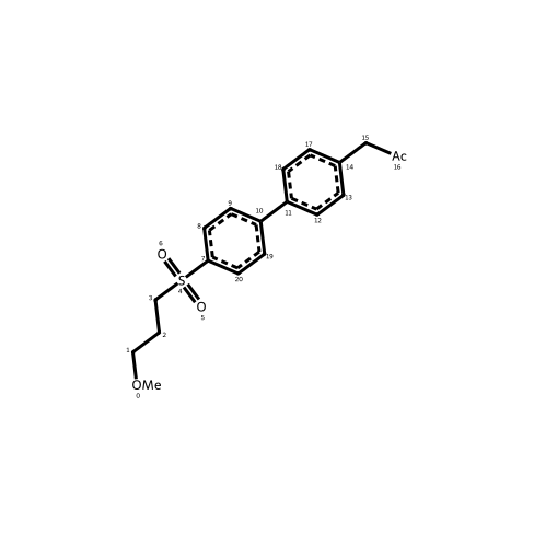 COCCCS(=O)(=O)c1ccc(-c2ccc(CC(C)=O)cc2)cc1